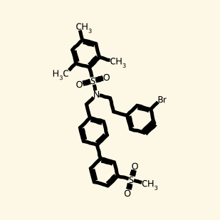 Cc1cc(C)c(S(=O)(=O)N(CCc2cc#cc(Br)c2)Cc2ccc(-c3cccc(S(C)(=O)=O)c3)cc2)c(C)c1